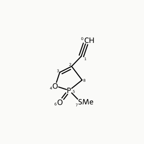 C#CC1=COP(=O)(SC)C1